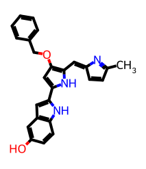 CC1=NC(=Cc2[nH]c(-c3cc4cc(O)ccc4[nH]3)cc2OCc2ccccc2)C=C1